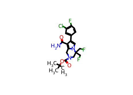 CC(C)(C)OC(=O)N1Cc2c(C(N)=O)c(-c3ccc(F)c(Cl)c3)cn2C(CF)(CF)C1